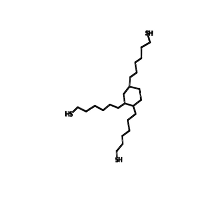 SCCCCCCC1CCC(CCCCCCS)C(CCCCCCS)C1